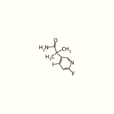 CC(C)(C(N)=O)c1cnc(F)cc1I